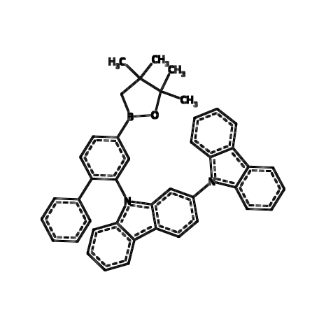 CC1(C)CB(c2ccc(-c3ccccc3)c(-n3c4ccccc4c4ccc(-n5c6ccccc6c6ccccc65)cc43)c2)OC1(C)C